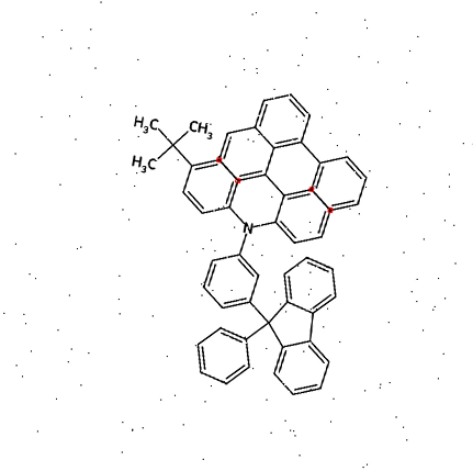 CC(C)(C)c1ccc(N(c2cccc(C3(c4ccccc4)c4ccccc4-c4ccccc43)c2)c2ccccc2-c2cccc3cccc(-c4ccccc4)c23)cc1